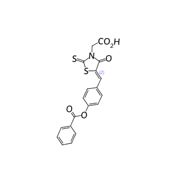 O=C(O)CN1C(=O)/C(=C/c2ccc(OC(=O)c3ccccc3)cc2)SC1=S